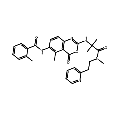 Cc1c(NC(=O)c2ccccc2I)ccc2nc(NC(C)(C)C(=O)N(C)CCc3ccccn3)oc(=O)c12